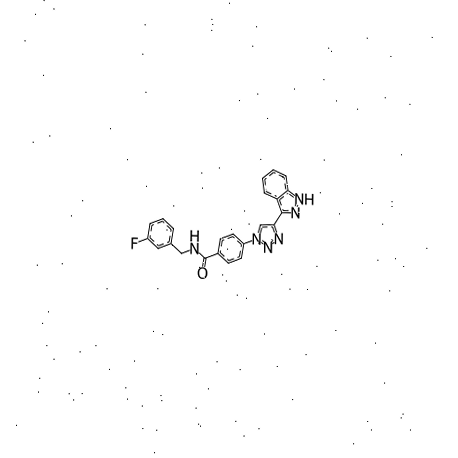 O=C(NCc1cccc(F)c1)c1ccc(-n2cc(-c3n[nH]c4ccccc34)nn2)cc1